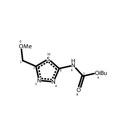 COCc1nnc(NC(=O)OCC(C)C)s1